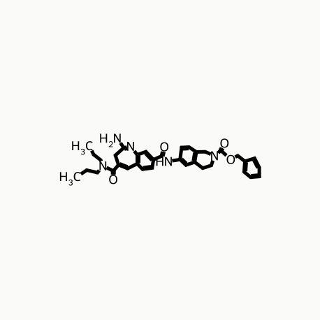 CCCN(CCC)C(=O)C1=Cc2ccc(C(=O)Nc3ccc4c(c3)CCN(C(=O)OCc3ccccc3)C4)cc2N=C(N)C1